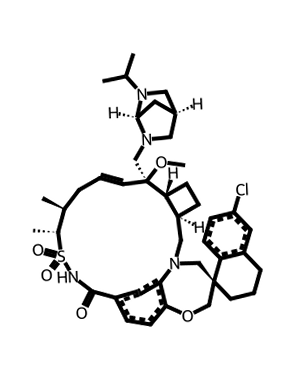 CO[C@]1(CN2C[C@H]3C[C@@H]2N(C(C)C)C3)/C=C/C[C@H](C)[C@@H](C)S(=O)(=O)NC(=O)c2ccc3c(c2)N(C[C@@H]2CC[C@H]21)C[C@@]1(CCCc2cc(Cl)ccc21)CO3